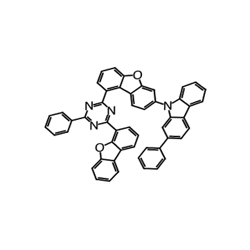 c1ccc(-c2ccc3c4ccccc4n(-c4ccc5c(c4)oc4cccc(-c6nc(-c7ccccc7)nc(-c7cccc8c7oc7ccccc78)n6)c45)c3c2)cc1